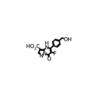 O=C(O)c1cnn2c(=O)c(F)c(-c3ccc(CO)cc3)[nH]c12